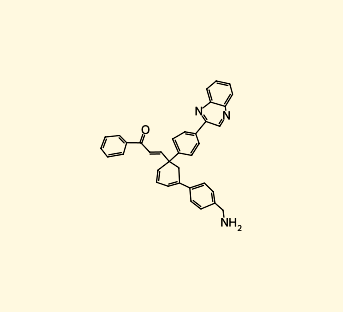 NCc1ccc(C2=CC=CC(C=CC(=O)c3ccccc3)(c3ccc(-c4cnc5ccccc5n4)cc3)C2)cc1